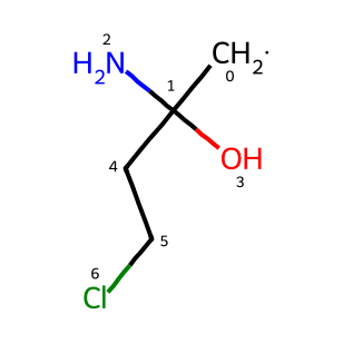 [CH2]C(N)(O)CCCl